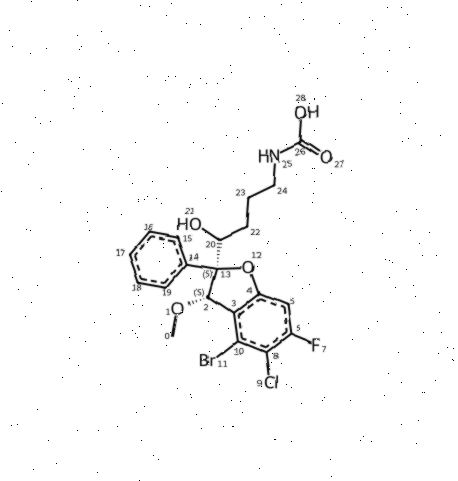 CO[C@H]1c2c(cc(F)c(Cl)c2Br)O[C@@]1(c1ccccc1)C(O)CCCNC(=O)O